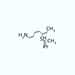 C\C=C(/C=C\C=C/N)S[SH](C)C(C)C